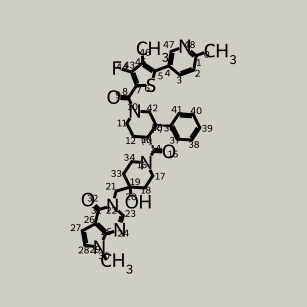 Cc1ccc(-c2sc(C(=O)N3CC[C@@H](C(=O)N4CCC(O)(Cn5cnc6c(ccn6C)c5=O)CC4)[C@H](c4ccccc4)C3)c(F)c2C)cn1